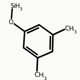 Cc1cc(C)cc(O[SiH3])c1